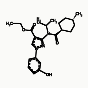 CCOC(=O)c1cn(-c2cccc(O)c2)nc1N(C(=O)[C@H]1CC[C@H](C)CC1)C(C)C